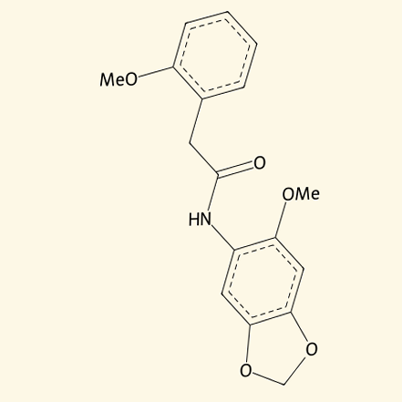 COc1ccccc1CC(=O)Nc1cc2c(cc1OC)OCO2